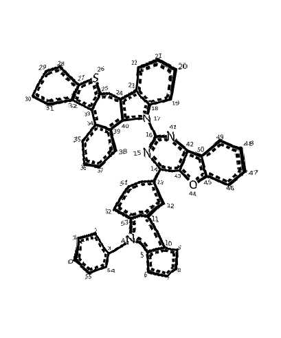 c1ccc(-n2c3ccccc3c3cc(-c4nc(-n5c6ccccc6c6c7sc8ccccc8c7c7ccccc7c65)nc5c4oc4ccccc45)ccc32)cc1